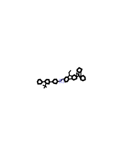 CCC1c2cc(/C=C/c3ccc(-c4ccc(-c5ccccc5)c(C(C)(C)C)c4)cc3)ccc2-c2ccc(N(c3ccccc3)c3ccccc3)cc21